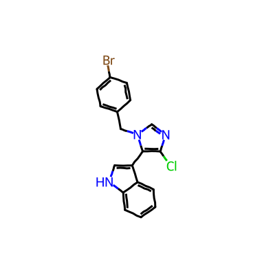 Clc1ncn(Cc2ccc(Br)cc2)c1-c1c[nH]c2ccccc12